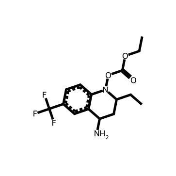 CCOC(=O)ON1c2ccc(C(F)(F)F)cc2C(N)CC1CC